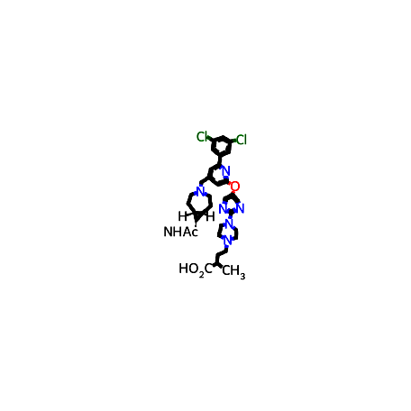 CC(=O)N[C@@H]1[C@@H]2CCN(Cc3cc(Oc4cnc(N5CCN(CCC(C)C(=O)O)CC5)nc4)nc(-c4cc(Cl)cc(Cl)c4)c3)CC[C@@H]21